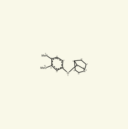 CNc1ccc(OC2CN3CCC2CC3)cc1OC